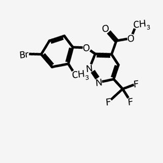 COC(=O)c1cc(C(F)(F)F)nnc1Oc1ccc(Br)cc1C